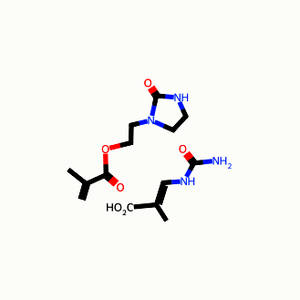 C=C(C)C(=O)OCCN1CCNC1=O.CC(=CNC(N)=O)C(=O)O